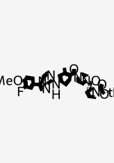 COc1ccc(-c2cnc3c(Nc4ccc(C(=O)N5CCN(C(=O)[C@@H]6C=CCN6C(=O)OC(C)(C)C)CC5)c(C)c4)nccn23)cc1F